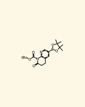 CC(C)(C)OC(=O)N1C(=O)CCc2cc(B3OC(C)(C)C(C)(C)O3)cnc21